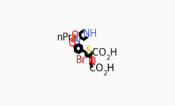 CCCS(=O)(=O)N(c1cccc(-c2sc(C(=O)O)c(OCC(=O)O)c2Br)c1)C1CCNCC1